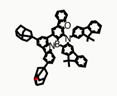 CC1(C)c2ccccc2-c2ccc(N3c4cc5c(cc4B4c6c(cc7c(oc8ccccc87)c63)-c3cc(C67CC8CC(CC(C8)C6)C7)cc6c7cc(C89CC%10CC(CC(C%10)C8)C9)ccc7n4c36)C(C)(C)c3ccccc3-5)cc21